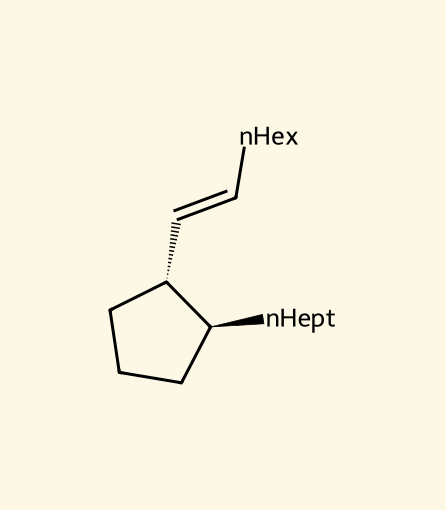 CCCCCC/C=C/[C@H]1CCC[C@@H]1CCCCCCC